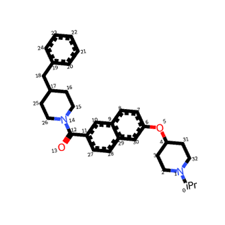 CC(C)N1CCC(Oc2ccc3cc(C(=O)N4CCC(Cc5ccccc5)CC4)ccc3c2)CC1